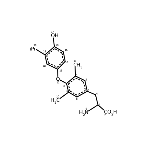 Cc1cc(CC(N)C(=O)O)cc(C)c1Oc1ccc(O)c(C(C)C)c1